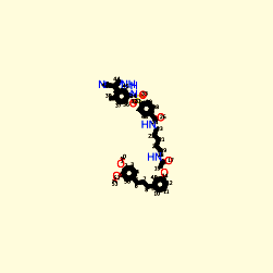 COc1ccc(CC[CH]c2cccc(OCC(=O)NCCCCCNC(=O)c3ccc(S(=O)(=O)Nc4ccc(C)c5c(C#N)c[nH]c45)cc3)c2)cc1OC